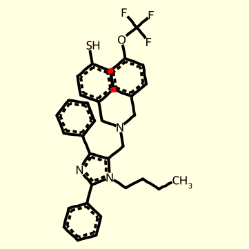 CCCCn1c(-c2ccccc2)nc(-c2ccccc2)c1CN(Cc1ccc(S)cc1)Cc1ccc(OC(F)(F)F)cc1